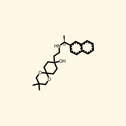 C[C@H](NCCC1(O)CCC2(CC1)OCC(C)(C)CO2)c1ccc2ccccc2c1